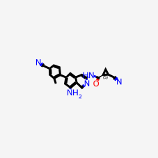 Cc1cc(C#N)ccc1-c1cc(N)c2cnc(NC(=O)[C@H]3CC3C#N)cc2c1